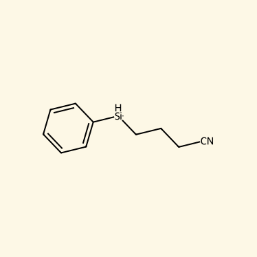 N#CCCC[SiH]c1ccccc1